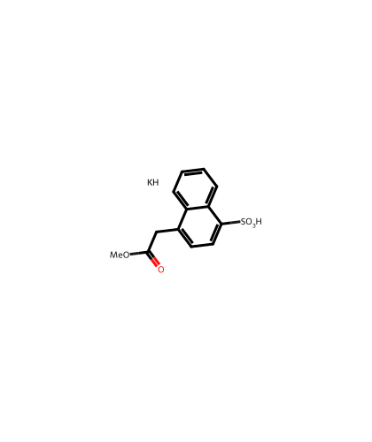 COC(=O)Cc1ccc(S(=O)(=O)O)c2ccccc12.[KH]